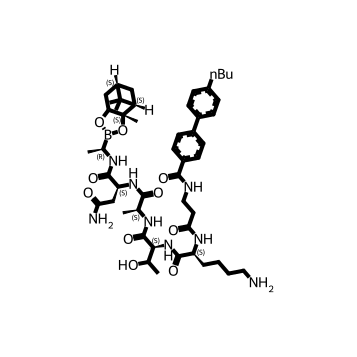 CCCCc1ccc(-c2ccc(C(=O)NCCC(=O)N[C@@H](CCCCN)C(=O)N[C@H](C(=O)N[C@@H](C)C(=O)N[C@@H](CC(N)=O)C(=O)N[C@@H](C)B3OC4C[C@@H]5C[C@@H](C5(C)C)[C@]4(C)O3)C(C)O)cc2)cc1